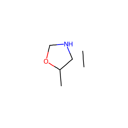 CC.CC1CNCO1